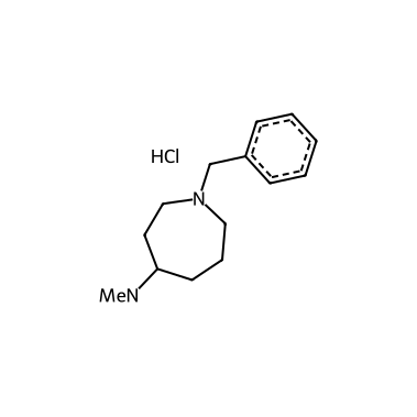 CNC1CCCN(Cc2ccccc2)CC1.Cl